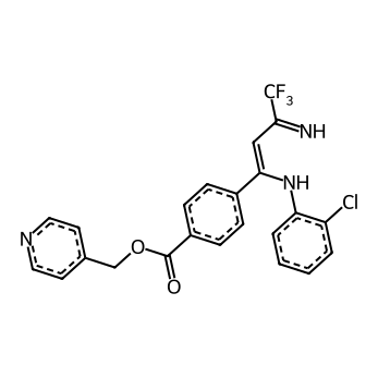 N=C(/C=C(\Nc1ccccc1Cl)c1ccc(C(=O)OCc2ccncc2)cc1)C(F)(F)F